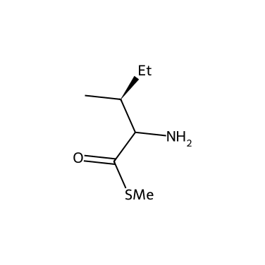 CC[C@H](C)C(N)C(=O)SC